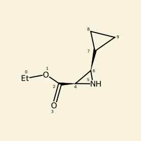 CCOC(=O)[C@@H]1N[C@@H]1C1CC1